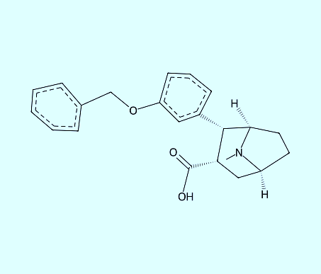 CN1[C@H]2CC[C@@H]1[C@@H](c1cccc(OCc3ccccc3)c1)[C@@H](C(=O)O)C2